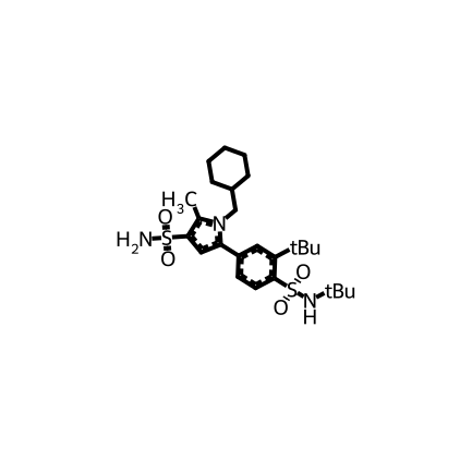 Cc1c(S(N)(=O)=O)cc(-c2ccc(S(=O)(=O)NC(C)(C)C)c(C(C)(C)C)c2)n1CC1CCCCC1